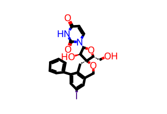 O=c1ccn([C@@H]2O[C@H](CO)[C@]3(Cc4c(cc(I)cc4-c4ccccc4)CO3)[C@H]2O)c(=O)[nH]1